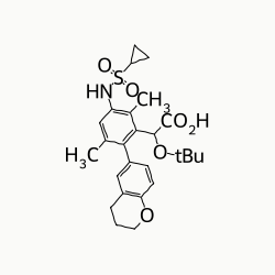 Cc1cc(NS(=O)(=O)C2CC2)c(C)c(C(OC(C)(C)C)C(=O)O)c1-c1ccc2c(c1)CCCO2